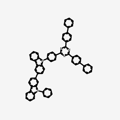 c1ccc(-c2ccc(-c3nc(-c4ccc(-c5ccccc5)cc4)nc(-c4ccc(-n5c6ccccc6c6cc(-c7ccc8c9ccccc9n(-c9ccccc9)c8c7)ccc65)cc4)n3)cc2)cc1